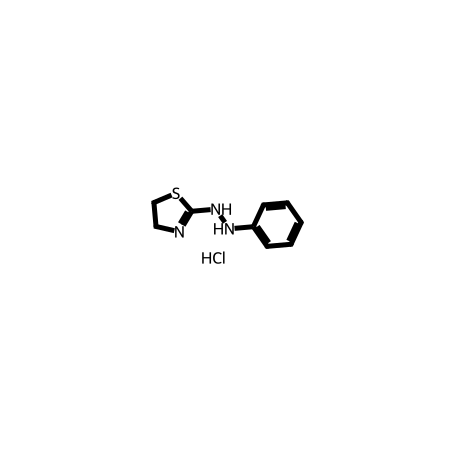 Cl.c1ccc(NNC2=NCCS2)cc1